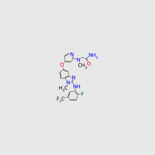 CN(CC(N)=O)c1cc(Oc2ccc3c(c2)nc(Nc2cc(C(F)(F)F)ccc2F)n3C)ccn1